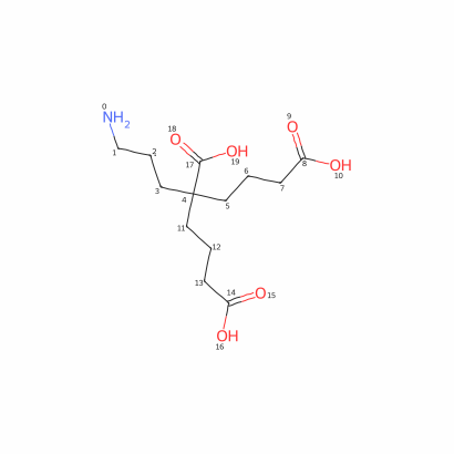 NC[CH]CC(CCCC(=O)O)(CCCC(=O)O)C(=O)O